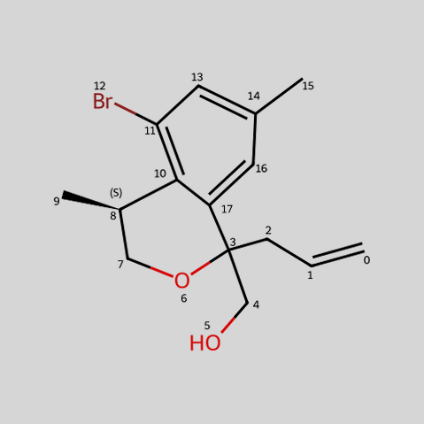 C=CCC1(CO)OC[C@@H](C)c2c(Br)cc(C)cc21